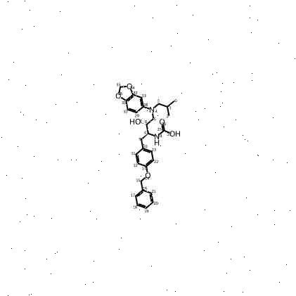 CC(C)CN(C[C@@H](O)[C@H](Cc1ccc(OCc2ccccc2)cc1)NC(=O)O)c1ccc2c(c1)OCO2